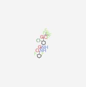 CC(OC(=O)c1ccc(NC(=O)NC(=O)c2c(F)cccc2F)cc1Cl)(C(F)(F)F)C(F)(F)F